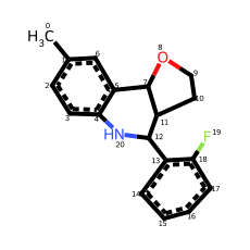 Cc1ccc2c(c1)C1OCCC1C(c1ccccc1F)N2